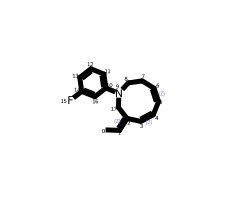 C/C=C1/C=C\C=C/CCN(c2cccc(F)c2)C1